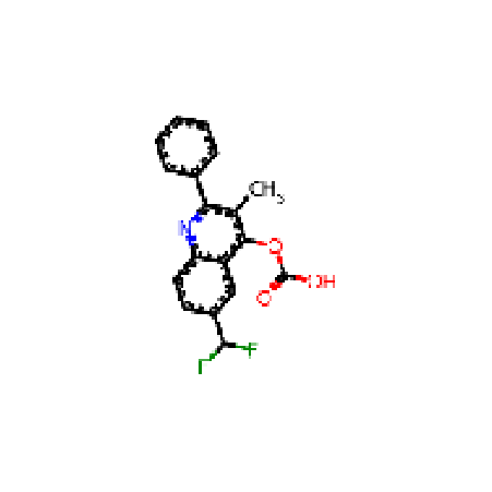 Cc1c(-c2ccccc2)nc2ccc(C(F)F)cc2c1OC(=O)O